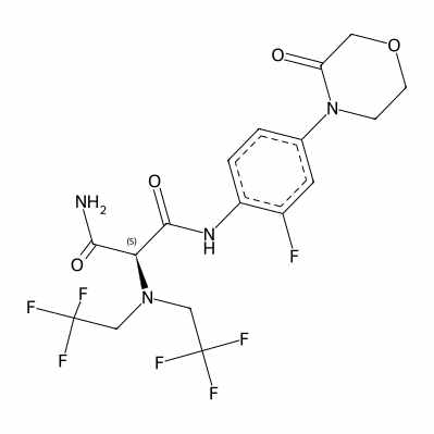 NC(=O)[C@@H](C(=O)Nc1ccc(N2CCOCC2=O)cc1F)N(CC(F)(F)F)CC(F)(F)F